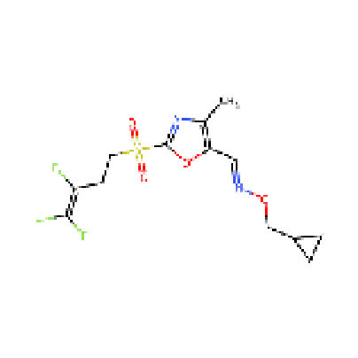 Cc1nc(S(=O)(=O)CCC(F)=C(F)F)oc1C=NOCC1CC1